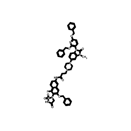 Cn1c(=O)n(-c2ccc(OCc3ccccc3)nc2OCc2ccccc2)c2ccc(N3CCN(CCC(=O)Nc4ccc5c(F)c(N6CC(=O)NS6(=O)=O)c(OCc6ccccc6)cc5c4)CC3)cc21